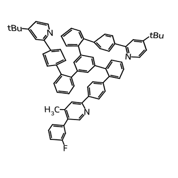 Cc1cc(-c2ccc(-c3ccccc3-c3cc(-c4ccccc4-c4ccc(-c5cc(C(C)(C)C)ccn5)cc4)cc(-c4ccccc4-c4ccc(-c5cc(C(C)(C)C)ccn5)cc4)c3)cc2)ncc1-c1cccc(F)c1